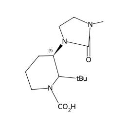 CN1CCN([C@@H]2CCCN(C(=O)O)C2C(C)(C)C)C1=O